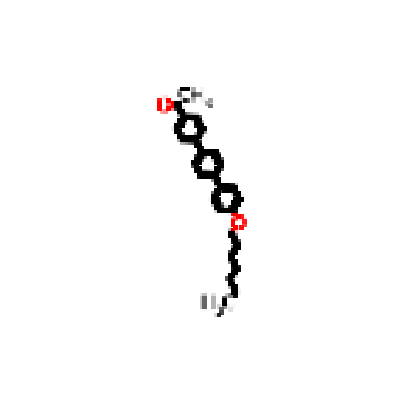 CCCCCCCOc1ccc(-c2ccc(-c3ccc(C(C)=O)cc3)cc2)cc1